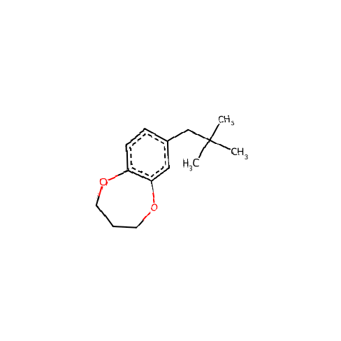 CC(C)(C)Cc1ccc2c(c1)OCCCO2